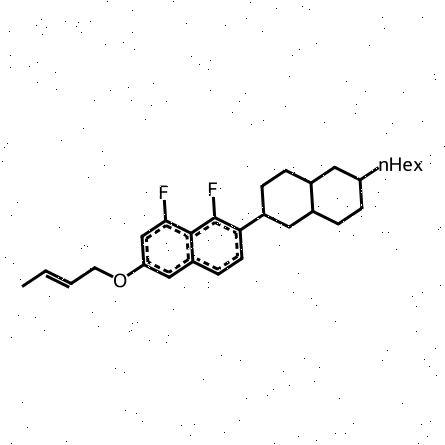 C/C=C/COc1cc(F)c2c(F)c(C3CCC4CC(CCCCCC)CCC4C3)ccc2c1